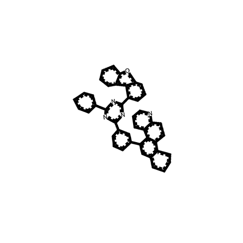 c1ccc(-c2nc(-c3cccc(-c4cc5ccccc5c5ccc6ncccc6c45)c3)nc(-c3cccc4oc5ccccc5c34)n2)cc1